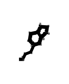 OCCn1ccc2ncnc-2c1